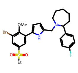 CCS(=O)(=O)c1cc(Br)c(OC)c(-c2ccc(CN3CCCCCC3c3ccc(F)cc3)[nH]2)c1